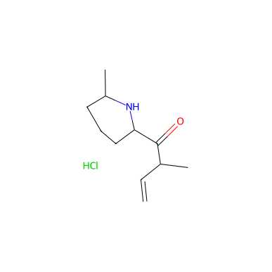 C=CC(C)C(=O)C1CCCC(C)N1.Cl